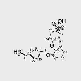 C=Cc1ccc(COC2CCCCC2Oc2ccc(S(=O)(=O)O)cc2)cc1